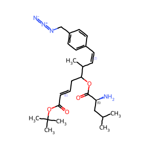 CC(C)C[C@H](N)C(=O)OC(C/C=C/C(=O)OC(C)(C)C)C(C)/C=C\c1ccc(CN=[N+]=[N-])cc1